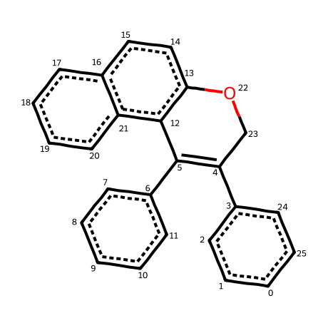 c1ccc(C2=C(c3ccccc3)c3c(ccc4ccccc34)OC2)cc1